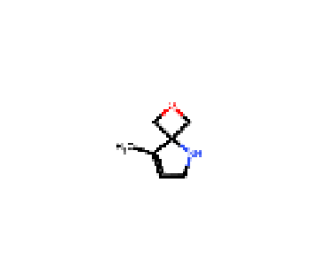 CC1=CCNC12COC2